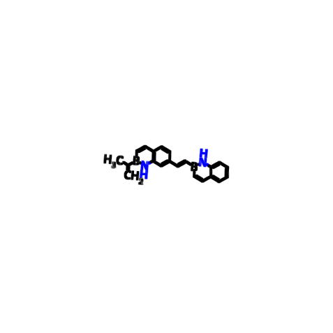 C=C(C)B1C=Cc2ccc(/C=C/B3C=Cc4ccccc4N3)cc2N1